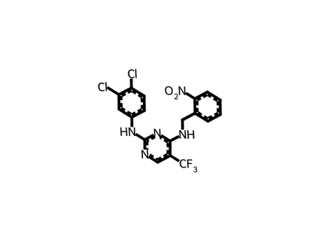 O=[N+]([O-])c1ccccc1CNc1nc(Nc2ccc(Cl)c(Cl)c2)ncc1C(F)(F)F